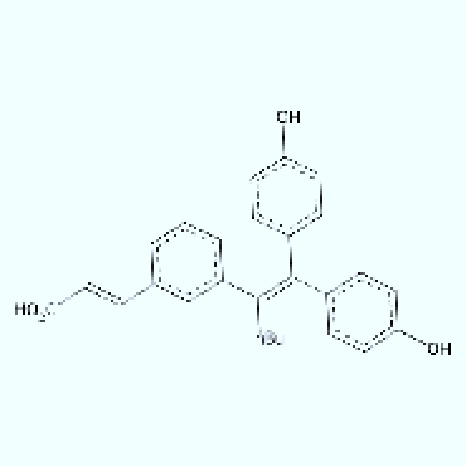 CCCCC(=C(c1ccc(O)cc1)c1ccc(O)cc1)c1cccc(C=CC(=O)O)c1